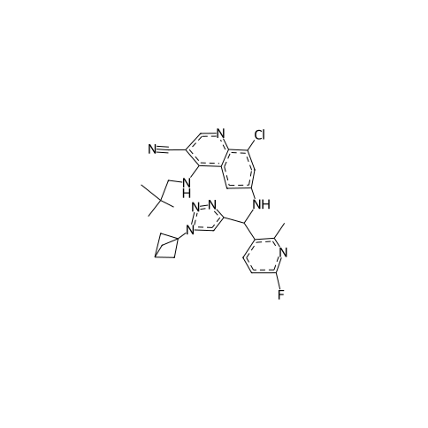 Cc1nc(F)ccc1C(Nc1cc(Cl)c2ncc(C#N)c(NCC(C)(C)C)c2c1)c1cn(C23CC(C2)C3)nn1